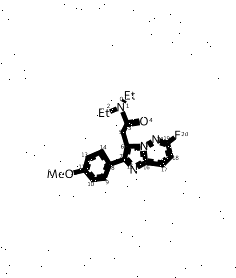 CCN(CC)C(=O)Cc1c(-c2ccc(OC)cc2)nc2ccc(F)nn12